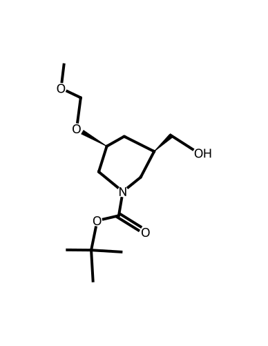 COCO[C@H]1C[C@@H](CO)CN(C(=O)OC(C)(C)C)C1